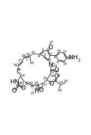 COc1cc2cc(c1-c1ccc(N)cc1)N(C)C(=O)CC(OC(=O)C(C)C)C1O[C@H]1[C@H](C)C1CC(C/C=C/C=C(\C)C2)NC(=O)O1